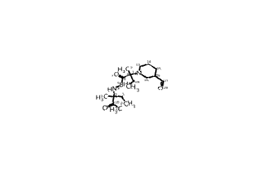 CCC(C)(NBC(=O)C(C)(CC)N1CCCC(C=O)C1)C(C)=O